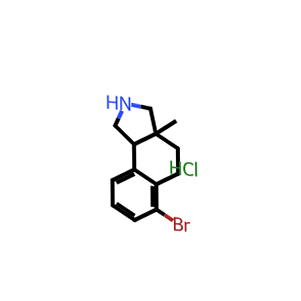 CC12CCc3c(Br)cccc3C1CNC2.Cl